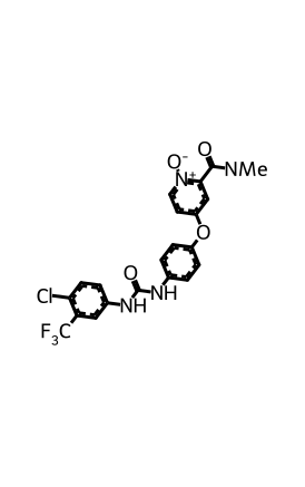 CNC(=O)c1cc(Oc2ccc(NC(=O)Nc3ccc(Cl)c(C(F)(F)F)c3)cc2)cc[n+]1[O-]